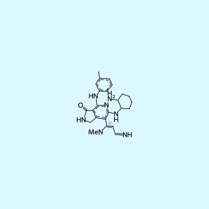 CN/C(=C\C=N)c1c(NC2CCCCC2N)nc(Nc2cccc(C)c2)c2c1CNC2=O